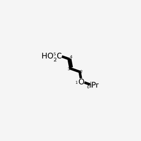 CC(C)OCC=CC(=O)O